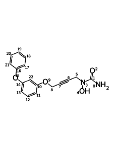 NC(=O)N(O)CC#CCOc1cccc(Oc2ccccc2)c1